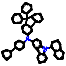 c1ccc(-c2ccc(N(c3ccc4c(c3)-c3ccccc3C4(c3ccccc3)c3ccccc3)c3ccc4c(c3)c3ccccc3n4-c3cccc4ccccc34)cc2)cc1